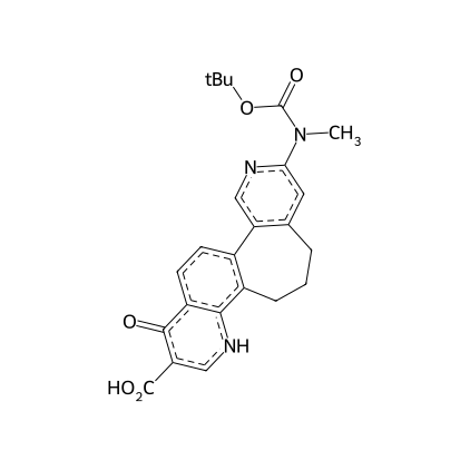 CN(C(=O)OC(C)(C)C)c1cc2c(cn1)-c1ccc3c(=O)c(C(=O)O)c[nH]c3c1CCC2